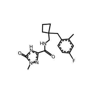 Cc1cc(F)ccc1CC1(CNC(=O)c2nn(C)c(=O)[nH]2)CCC1